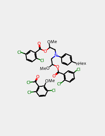 CCCCCCc1ccc(N(CC(OC)OC(=O)c2cc(Cl)ccc2Cl)CC(OC)OC(=O)c2cc(Cl)ccc2Cl)cc1.COc1c(Cl)ccc(Cl)c1C(=O)Cl